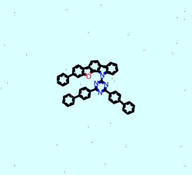 c1ccc(-c2ccc(-c3nc(-c4ccc(-c5ccccc5)cc4)nc(-n4c5ccccc5c5ccc6c7ccc(-c8ccccc8)cc7oc6c54)n3)cc2)cc1